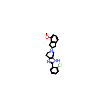 COc1cccc2c1CC(N1CCc3nc(-c4ccccc4Cl)[nH]c3C1)C2